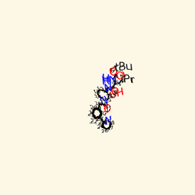 CC(C)C[C@H](NC(=O)OC(C)(C)C)C(=O)NC1CCCN(C(=O)Cc2cccc(-c3ccccn3)c2)CC1O